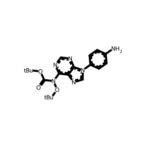 CC(C)(C)OC(=O)N(OC(C)(C)C)c1ncnc2c1ncn2-c1ccc(N)cc1